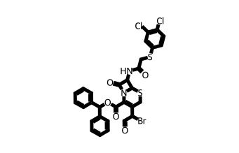 O=CC(Br)C1=C(C(=O)OC(c2ccccc2)c2ccccc2)N2C(=O)C(NC(=O)CSc3ccc(Cl)c(Cl)c3)C2SC1